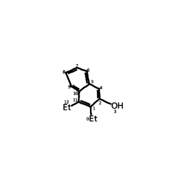 CCc1c(O)cc2ccccc2c1CC